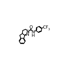 O=C(Nc1ccc(C(F)(F)F)cc1)N1CCC2Cc3ccccc3C2=N1